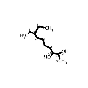 CCC(CC)CCCCC(O)C(C)O